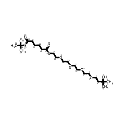 CC(C)(C)CCOCCOCCOCCOCCSC(=O)CCCCC(=O)SC(C)(C)C